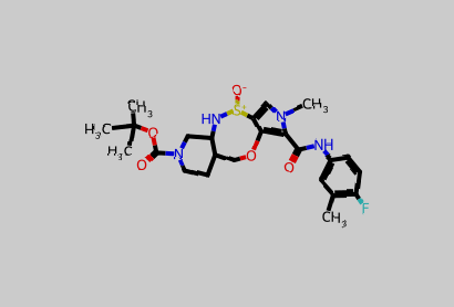 Cc1cc(NC(=O)c2c3c(cn2C)[S+]([O-])NC2CN(C(=O)OC(C)(C)C)CCC2CO3)ccc1F